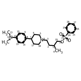 CC(CCN1CCC(c2ccc(N(C)C)cc2)CC1)COS(=O)(=O)c1ccccc1